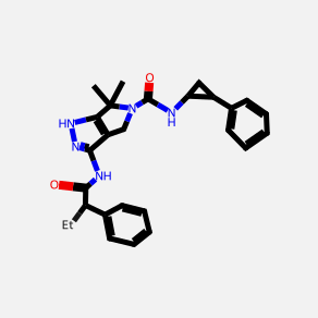 CCC(C(=O)Nc1n[nH]c2c1CN(C(=O)NC1CC1c1ccccc1)C2(C)C)c1ccccc1